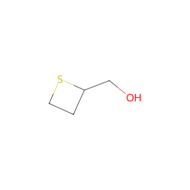 OCC1CCS1